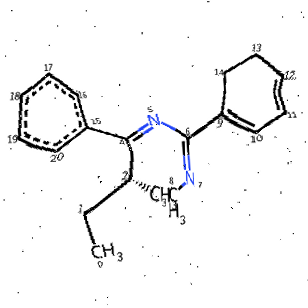 CC[C@@H](C)/C(=N\C(=N/C)C1=CC=CCC1)c1ccccc1